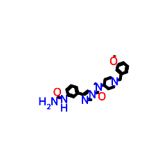 COc1cccc(CN2CCC(N(C)C(=O)n3cnc(-c4cccc(NC(N)=O)c4)c3)CC2)c1